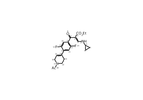 CCOC(=O)C(=CNC1CC1)C(=O)c1cc(F)c(C2=CCN(C(C)=O)CC2)cc1F